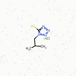 CC(C)Cn1nnnc1S.Cl